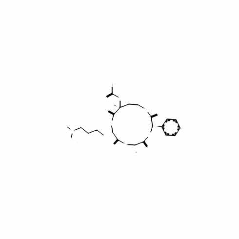 CC[C@@H]1NC(=O)[C@H](CCCCN(C)C)NC(=O)[C@](C)(NC(=O)C(C)C)CCNC(=O)[C@@H](c2ccccc2)NC1=O